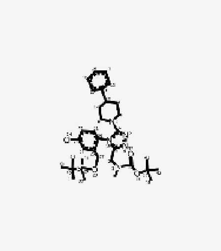 CN(Cc1nnc(N2CCC(c3ccccc3)CC2)n1-c1ccc(Cl)cc1CO[Si](C)(C)C(C)(C)C)C(=O)OC(C)(C)C